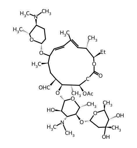 CC[C@H]1OC(=O)C[C@@H](OC(C)=O)[C@H](C)[C@@H](O[C@@H]2O[C@H](C)[C@@H](O[C@H]3C[C@@](C)(O)[C@@H](O)[C@H](C)O3)[C@H](N(C)C)[C@H]2O)[C@@H](C=O)C[C@@H](C)C(O[C@H]2CC[C@H](N(C)C)[C@@H](C)O2)/C=C/C(C)=C/[C@@H]1C